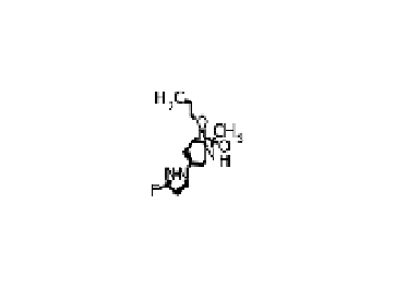 C=CCON1C2C=C(n3ccc(F)n3)CN(C2)C1(C)O